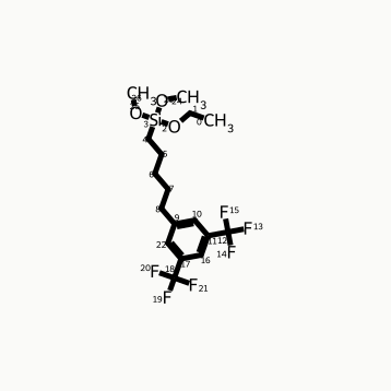 CCO[Si](CCCCCc1cc(C(F)(F)F)cc(C(F)(F)F)c1)(OC)OC